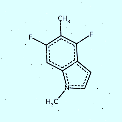 Cc1c(F)cc2c(ccn2C)c1F